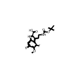 COc1c(F)cc2[nH]c(C(=O)O)c(CCNC(=O)OC(C)(C)C)c2c1F